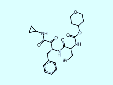 CC(C)C[C@H](NC(=O)OC1CCOCC1)C(=O)N[C@@H](Cc1ccccc1)C(=O)C(=O)NC1CC1